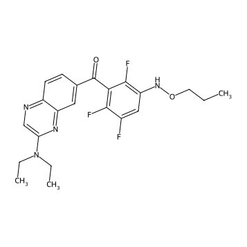 CCCONc1cc(F)c(F)c(C(=O)c2ccc3ncc(N(CC)CC)nc3c2)c1F